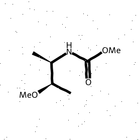 COC(=O)N[C@H](C)[C@@H](C)OC